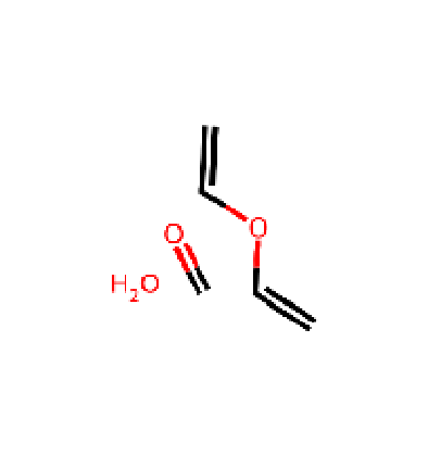 C=COC=C.C=O.O